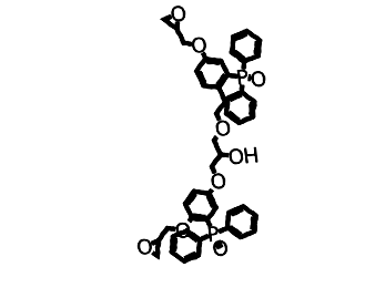 O=P(c1ccccc1)(c1ccccc1)c1cc(OCC2CO2)ccc1CCOCC(O)COc1ccc(OCC2CO2)c(P(=O)(c2ccccc2)c2ccccc2)c1